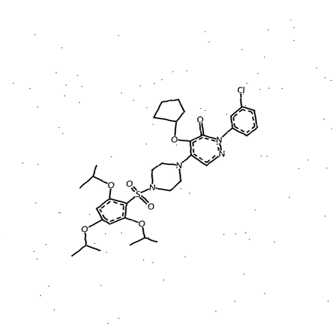 CC(C)Oc1cc(OC(C)C)c(S(=O)(=O)N2CCN(c3cnn(-c4cccc(Cl)c4)c(=O)c3OC3CCCC3)CC2)c(OC(C)C)c1